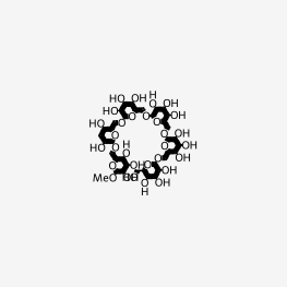 CO[C@H]1OC(CO[C@@H]2OC(CO[C@@H]3OC(CO[C@@H]4OC(CO[C@@H]5OC(CO[C@@H]6O[C@H](CO)[C@@H](O)[C@H](O)[C@H]6O)[C@@H](O)[C@H](O)[C@H]5O)[C@@H](O)[C@H](O)[C@H]4O)[C@@H](O)[C@H](O)[C@H]3O)[C@@H](O)C[C@H]2O)[C@@H](O)[C@H](O)[C@H]1O